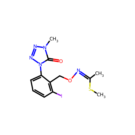 CSC(C)=NOCc1c(I)cccc1-n1nnn(C)c1=O